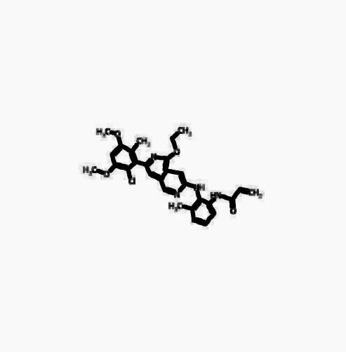 C=CC(=O)Nc1cccc(C)c1Nc1cc2c(OCC)nc(-c3c(C)c(OC)cc(OC)c3Cl)cc2cn1